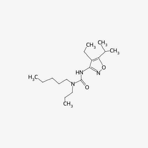 CCCCCN(CCC)C(=O)Nc1noc(C(C)C)c1CC